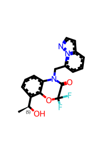 C[C@H](O)c1cccc2c1OC(F)(F)C(=O)N2Cc1cccc2ccnn12